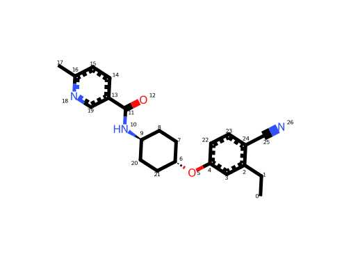 CCc1cc(O[C@H]2CC[C@H](NC(=O)c3ccc(C)nc3)CC2)ccc1C#N